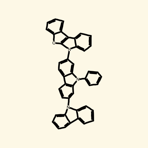 c1ccc(-n2c3cc(-n4c5ccccc5c5ccccc54)ccc3c3ccc(-n4c5ccccc5c5c6ccccc6oc54)cc32)cc1